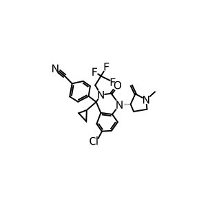 C=C1[C@@H](N2C(=O)N(CC(F)(F)F)C(c3ccc(C#N)cc3)(C3CC3)c3cc(Cl)ccc32)CCN1C